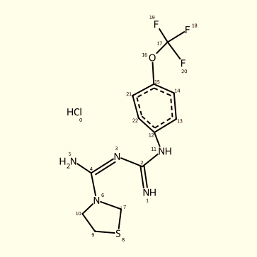 Cl.N=C(N=C(N)N1[CH]SCC1)Nc1ccc(OC(F)(F)F)cc1